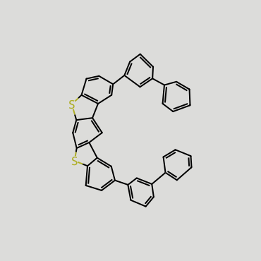 c1ccc(-c2cccc(-c3ccc4sc5cc6sc7ccc(-c8cccc(-c9ccccc9)c8)cc7c6cc5c4c3)c2)cc1